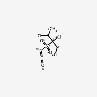 CC(Cl)C(Cl)(CCl)S(=O)(=O)N=C=O